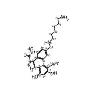 CCNC(=O)c1noc(-c2cc(C(C)C)c(O)cc2O)c1-c1ccc(CNCCCCCCN)cc1